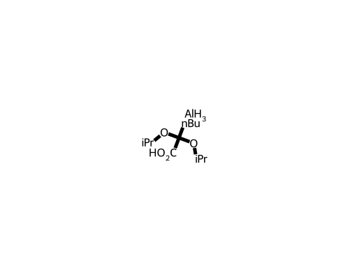 CCCCC(OC(C)C)(OC(C)C)C(=O)O.[AlH3]